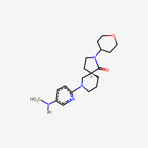 CC(C)N(C(=O)O)c1ccc(N2CCC[C@]3(CCN(C4CCOCC4)C3=O)C2)nc1